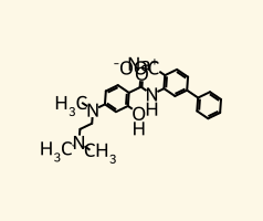 CN(C)CCN(C)c1ccc(C(=O)Nc2cc(-c3ccccc3)ccc2C(=O)[O-])c(O)c1.[Na+]